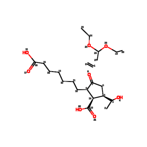 C=C.CC(O)[C@@H]1CC(=O)C(CCCCCCC(=O)O)[C@@H]1C(=O)O.CCOC(C)OCC